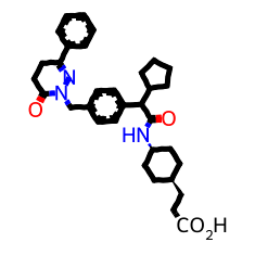 O=C(O)CC[C@H]1CC[C@H](NC(=O)C(c2ccc(CN3N=C(c4ccccc4)CCC3=O)cc2)C2CCCC2)CC1